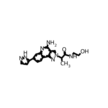 CC(C(=O)NCCO)n1cc2c(N)nc3cc(-c4ccn[nH]4)ccc3c2n1